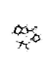 O=C(O)C(F)(F)F.OC(c1nc2ccccc2o1)[C@@H]1CCCN1